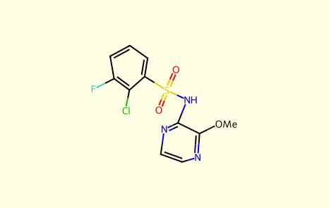 COc1nccnc1NS(=O)(=O)c1cccc(F)c1Cl